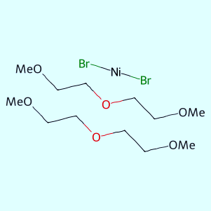 COCCOCCOC.COCCOCCOC.[Br][Ni][Br]